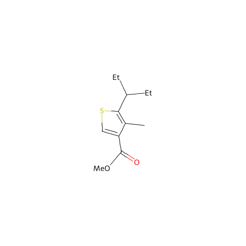 CCC(CC)c1scc(C(=O)OC)c1C